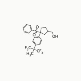 CC(c1ccc(C2(S(=O)(=O)c3ccccc3)CCC(CO)C2)cc1)(C(F)(F)F)C(F)(F)F